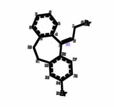 BrC/C=C1\c2ccccc2CCc2cc(Br)ccc21